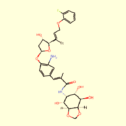 CCC(=CCOc1ccccc1F)[C@H]1O[C@@H](Oc2ccc(C=C(C)C(=O)N[C@@H]3[C@H](O)[C@@H](O)[C@H]4OCO[C@H]4[C@@H]3O)cc2N)C[C@@H]1O